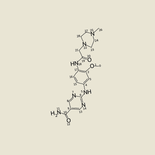 COc1cc(Nc2ncc(C(N)=O)cn2)ccc1NC(=O)CN1CCN(C)CC1